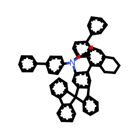 CC(C)c1ccc2c(c1-c1cc3c(cc1N(c1ccc(-c4ccccc4)cc1)c1ccc(-c4ccccc4)cc1)C1(c4ccccc4-c4ccccc41)c1ccccc1-3)CCCC2